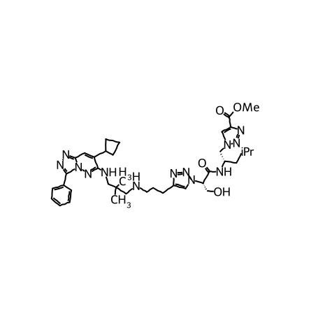 COC(=O)c1cn(C[C@H](CC(C)C)NC(=O)[C@H](CO)n2cc(CCCNCC(C)(C)CNc3nn4c(-c5ccccc5)nnc4cc3C3CCC3)nn2)nn1